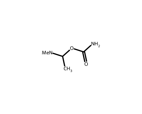 CNC(C)OC(N)=O